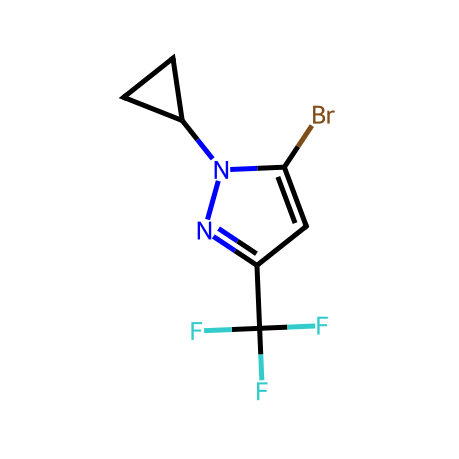 FC(F)(F)c1cc(Br)n(C2CC2)n1